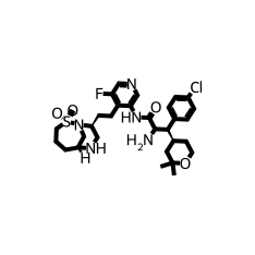 CC1(C)C[C@@H](C(c2ccc(Cl)cc2)C(N)C(=O)Nc2cncc(F)c2CC[C@H]2CN[C@@H]3CCCS(=O)(=O)N2C3)CCO1